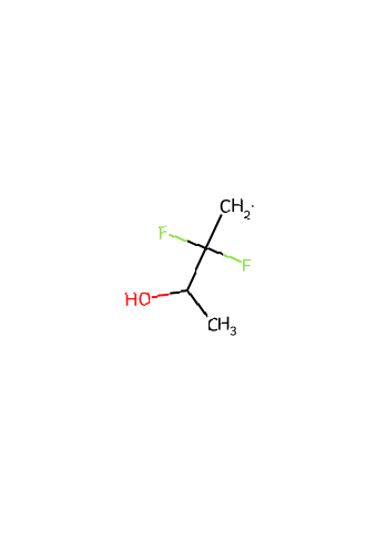 [CH2]C(F)(F)C(C)O